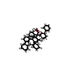 c1ccc(-c2ccc3c(c2)C2(c4ccccc4Oc4ccccc42)c2cc(-c4cccc5c6ccccc6n(-c6ccccc6)c45)ccc2O3)cc1